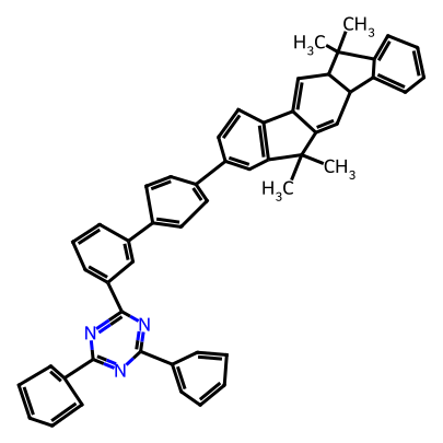 CC1(C)C2=CC3c4ccccc4C(C)(C)C3C=C2c2ccc(-c3ccc(-c4cccc(-c5nc(-c6ccccc6)nc(-c6ccccc6)n5)c4)cc3)cc21